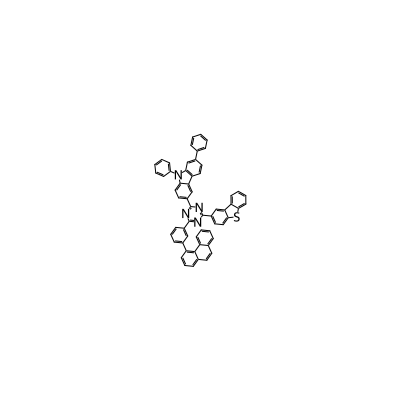 c1ccc(-c2ccc3c4cc(-c5nc(-c6cccc(-c7cccc8ccc9ccccc9c78)c6)nc(-c6ccc7sc8ccccc8c7c6)n5)ccc4n(-c4ccccc4)c3c2)cc1